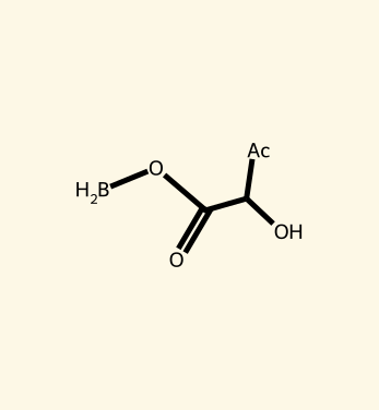 BOC(=O)C(O)C(C)=O